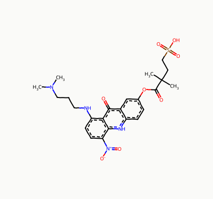 CN(C)CCCNc1ccc([N+](=O)[O-])c2[nH]c3ccc(OC(=O)C(C)(C)CCS(=O)(=O)O)cc3c(=O)c12